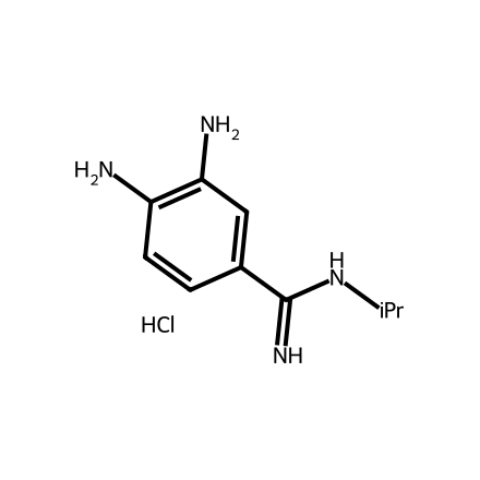 CC(C)NC(=N)c1ccc(N)c(N)c1.Cl